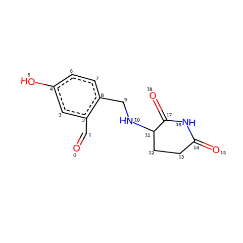 O=Cc1cc(O)ccc1CNC1CCC(=O)NC1=O